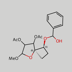 COC1O[C@@]2(CC[C@@H]2OC(O)c2ccccc2)C(OC(C)=O)C1OC(C)=O